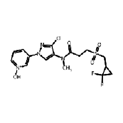 CN(C(=O)CCS(=O)(=O)CC1CC1(F)F)c1cn(-c2ccc[n+](O)c2)nc1Cl